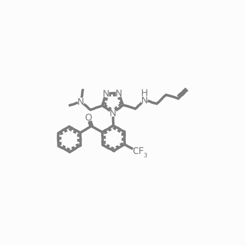 C=CCCNCc1nnc(CN(C)C)n1-c1cc(C(F)(F)F)ccc1C(=O)c1ccccc1